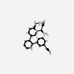 C=C(C#N)n1cc(-c2cccnc2-c2cccc(C#N)c2)cc/c1=N/C